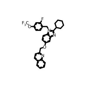 Fc1cc(OC(F)(F)F)ccc1Cn1c(C2CCCCC2)nc2cc(OCc3ccc4ccccc4n3)ccc21